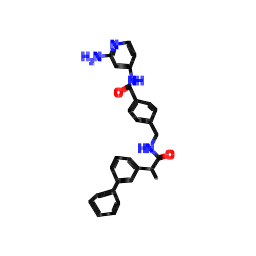 CC(C(=O)NCc1ccc(C(=O)Nc2ccnc(N)c2)cc1)c1cccc(-c2ccccc2)c1